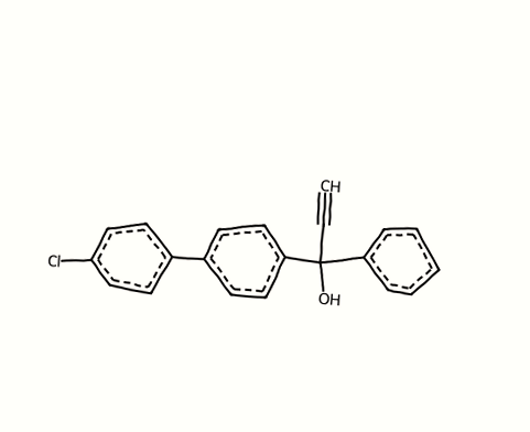 C#CC(O)(c1ccccc1)c1ccc(-c2ccc(Cl)cc2)cc1